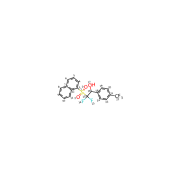 O=S(=O)(c1cccc2ccccc12)C(F)(F)C(O)c1ccc(C(F)(F)F)cc1